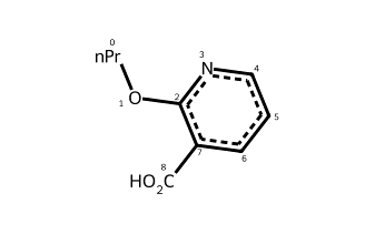 CCCOc1ncccc1C(=O)O